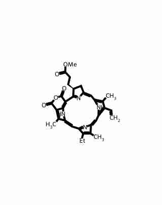 C=Cc1c(C)c2cc3nc(c4c5[nH]c(cc6nc(cc1[nH]2)C(C)=C6CC)c(C)c5C(=O)OC4=O)[C@@H](CCC(=O)OC)C3